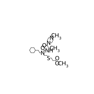 COC(=O)CCSCCN(CCC1CCCCC1)C(=O)N[C@@H](C)C(=O)N1CCN(C)CC1